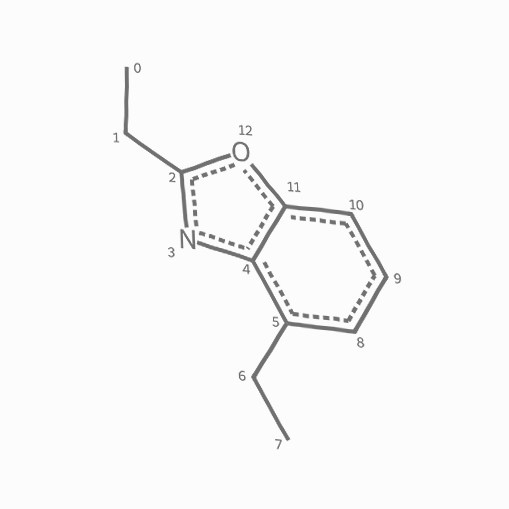 CCc1nc2c(CC)cccc2o1